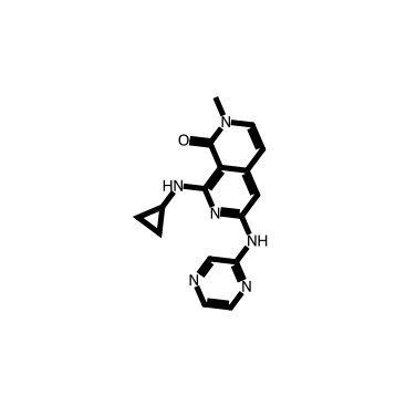 Cn1ccc2cc(Nc3cnccn3)nc(NC3CC3)c2c1=O